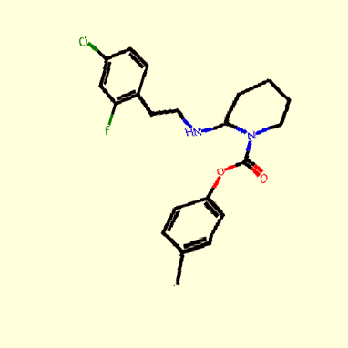 [CH2]c1ccc(OC(=O)N2CCCCC2NCCc2ccc(Cl)cc2F)cc1